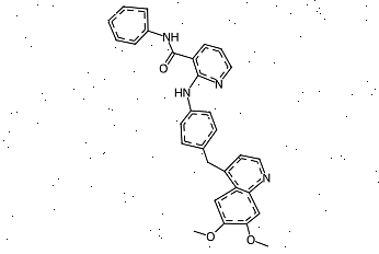 COc1cc2nccc(Cc3ccc(Nc4ncccc4C(=O)Nc4ccccc4)cc3)c2cc1OC